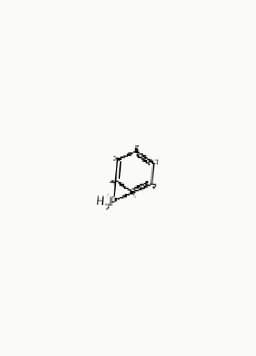 c1ccc2c(c1)[PH3]2